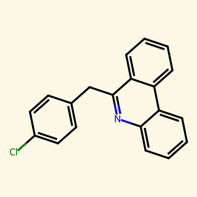 Clc1ccc(Cc2nc3ccccc3c3ccccc23)cc1